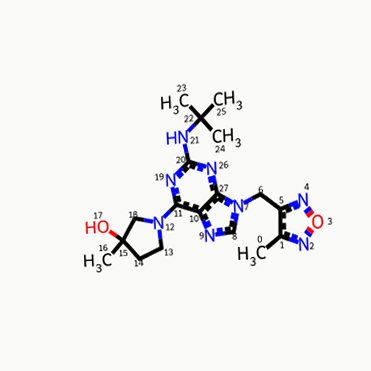 Cc1nonc1Cn1cnc2c(N3CCC(C)(O)C3)nc(NC(C)(C)C)nc21